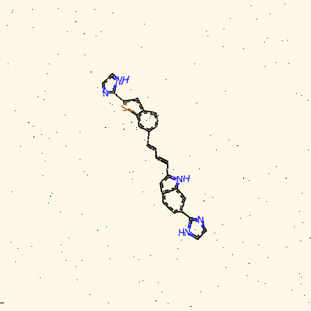 C(/C=C/c1cc2ccc(-c3ncc[nH]3)cc2[nH]1)=C\c1ccc2cc(-c3ncc[nH]3)sc2c1